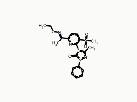 CCO/N=C(\C)c1ccc(S(C)(=O)=O)c(-n2c(C)nn(-c3ccccc3)c2=O)n1